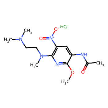 COc1nc(N(C)CCN(C)C)c([N+](=O)[O-])cc1NC(C)=O.Cl